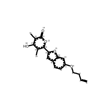 C=CCCOc1ccc2cc(-c3oc(=O)c(C)c(O)c3C)oc2c1